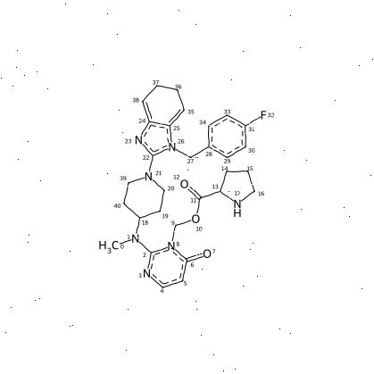 CN(c1nccc(=O)n1COC(=O)C1CCCN1)C1CCN(c2nc3c(n2Cc2ccc(F)cc2)=CCCC=3)CC1